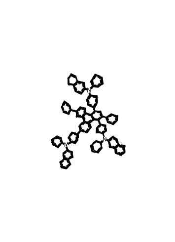 C1=CCC(N(c2ccc(-c3c(-c4ccccc4)cc(-c4ccc(N(c5ccccc5)c5ccc6c(c5)C=CCC6)cc4)c4c5ccc(-c6ccccc6)cc5c5cc(-c6ccc(N(c7ccccc7)c7ccc8ccccc8c7)cc6)ccc5c34)cc2)c2ccc3ccccc3c2)C=C1